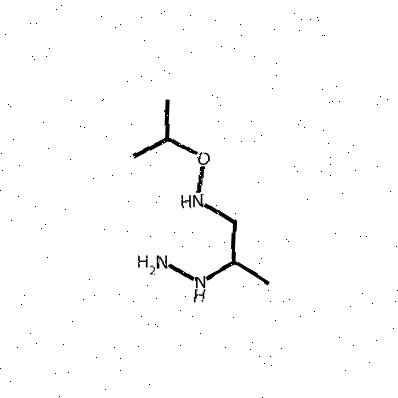 CC(CNOC(C)C)NN